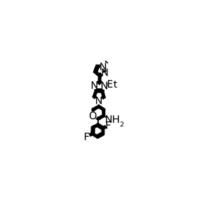 CCn1c(-c2ccn(C)n2)nc2c1CN([C@H]1CO[C@H](c3cc(F)ccc3F)[C@@H](N)C1)C2